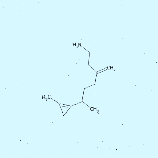 C=C(CCN)CCC(C)C1=C(C)C1